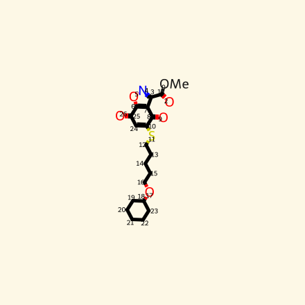 COC(=O)c1noc2c1C(=O)C(SCCCCCOC1CCCCC1)=CC2=O